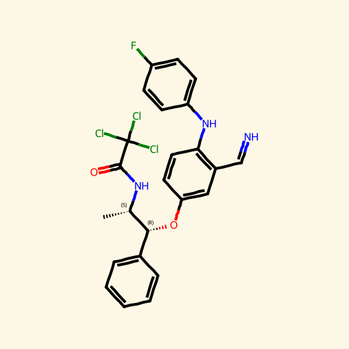 C[C@H](NC(=O)C(Cl)(Cl)Cl)[C@H](Oc1ccc(Nc2ccc(F)cc2)c(C=N)c1)c1ccccc1